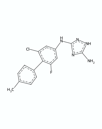 Cc1ccc(-c2c(F)cc(Nc3n[nH]c(N)n3)cc2Cl)cc1